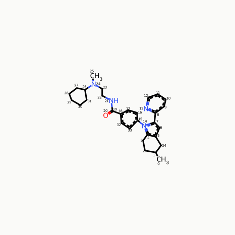 CC1CCc2c(cc(-c3ccccn3)n2-c2ccc(C(=O)NCCN(C)C3CCCCC3)cc2)C1